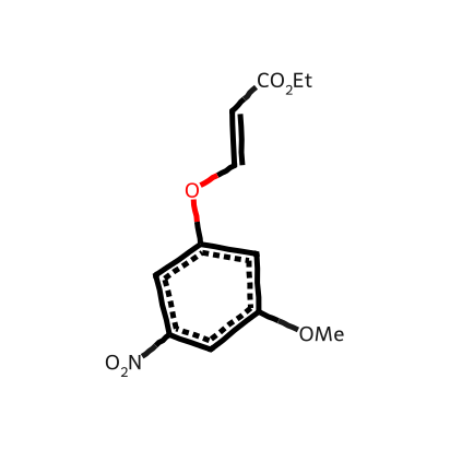 CCOC(=O)C=COc1cc(OC)cc([N+](=O)[O-])c1